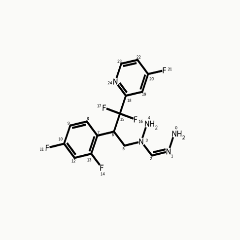 N/N=C\N(N)CC(c1ccc(F)cc1F)C(F)(F)c1cc(F)ccn1